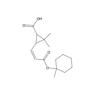 CC1(OC(=O)/C=C\C2C(C(=O)O)C2(C)C)CCCCC1